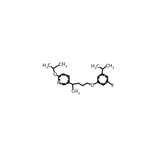 CC(C)Oc1ccc(C(C)CCCOc2cc(F)cc(C(C)C)c2)cn1